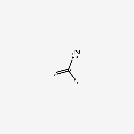 C=C(F)F.[Pd]